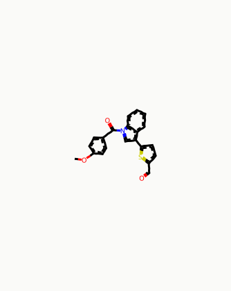 COc1ccc(C(=O)n2cc(-c3ccc(C=O)s3)c3ccccc32)cc1